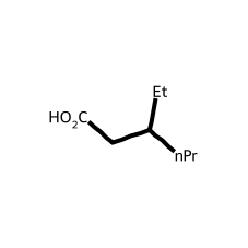 [CH2]CCC(C[CH2])CC(=O)O